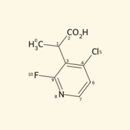 CC(C(=O)O)c1c(Cl)ccnc1F